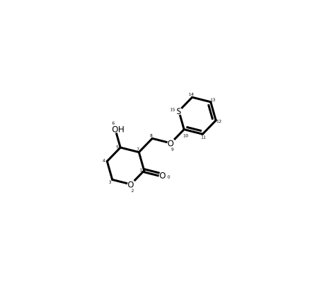 O=C1OCCC(O)C1COC1=CC=CCS1